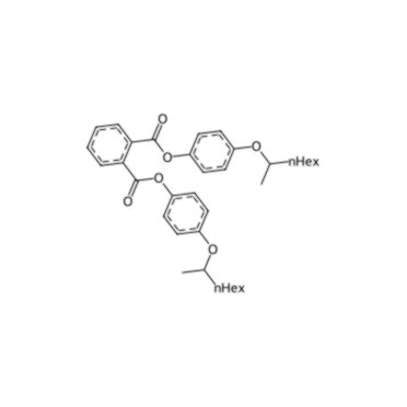 CCCCCCC(C)Oc1ccc(OC(=O)c2ccccc2C(=O)Oc2ccc(OC(C)CCCCCC)cc2)cc1